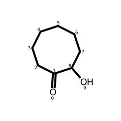 O=C1CCCCCCC1O